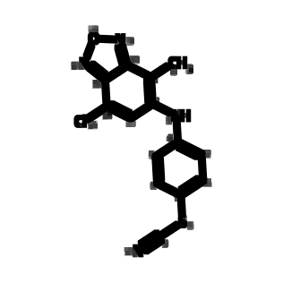 Cc1c(Nc2ccc(SC#N)cc2)cc(Cl)c2nonc12